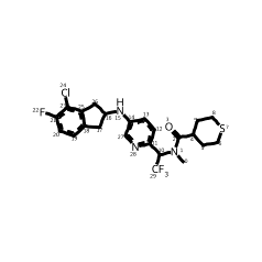 CN(C(=O)C1CCSCC1)C(c1ccc(NC2Cc3ccc(F)c(Cl)c3C2)cn1)C(F)(F)F